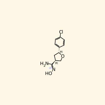 N/C(=N\O)[C@@H]1CO[C@@H](c2ccc(Cl)cc2)C1